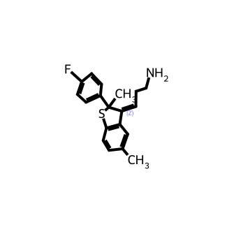 Cc1ccc2c(c1)/C(=C/CCN)C(C)(c1ccc(F)cc1)S2